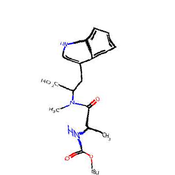 CC(NC(=O)OC(C)(C)C)C(=O)N(C)C(Cc1c[nH]c2ccccc12)C(=O)O